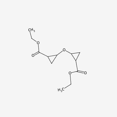 CCOC(=O)C1CC1OC1CC1C(=O)OCC